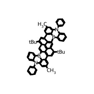 Cc1cc2c3c(c1)N(c1ccccc1)c1ccccc1B3c1cc3c(C(C)(C)C)cc4c5c(cc6c(C(C)(C)C)cc-2c1c6c35)B1c2ccccc2N(c2ccccc2)c2cc(C)cc-4c21